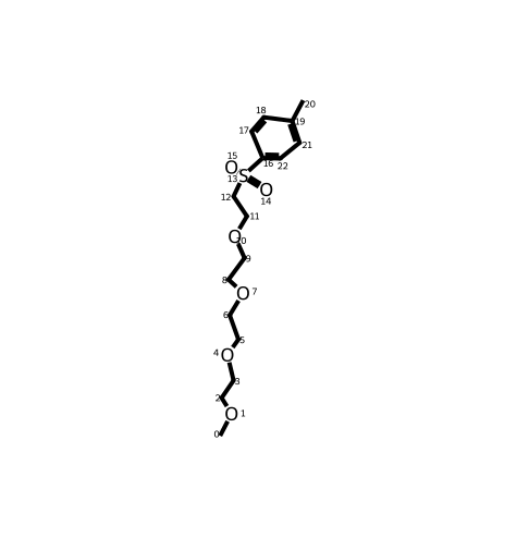 COCCOCCOCCOCCS(=O)(=O)c1ccc(C)cc1